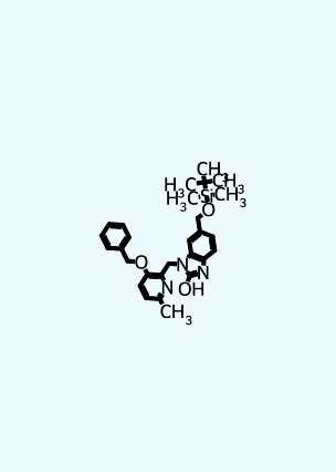 Cc1ccc(OCc2ccccc2)c(Cn2c(O)nc3ccc(CO[Si](C)(C)C(C)(C)C)cc32)n1